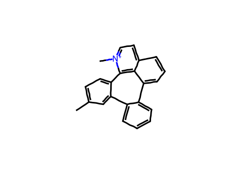 Cc1ccc2c(c1)-c1ccccc1-c1cccc3cc[n+](C)c-2c13